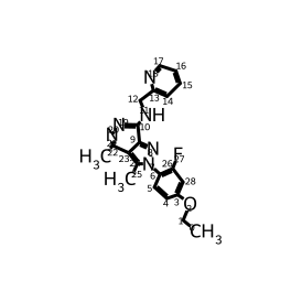 CCOc1ccc(-n2nc3c(NCc4ccccn4)nnc(C)c3c2C)c(F)c1